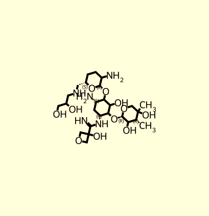 C[C@@H]1C(O)[C@@H](OC2C(O)C(O[C@H]3O[C@H](CNCC(O)CO)CCC3N)[C@@H](N)C[C@H]2NC(=N)C2(O)COC2)OCC1(C)O